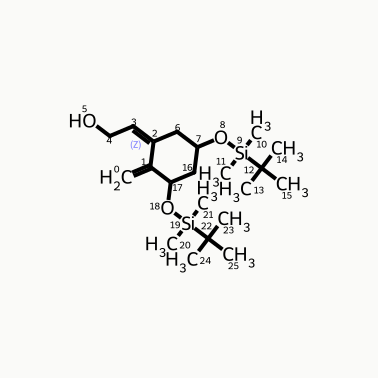 C=C1/C(=C\CO)CC(O[Si](C)(C)C(C)(C)C)CC1O[Si](C)(C)C(C)(C)C